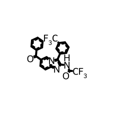 O=C(c1ccccc1)c1ccc2nc(NC(=O)C(F)(F)F)c(-c3cccc(C(F)(F)F)c3)n2c1